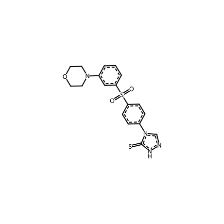 O=S(=O)(c1ccc(-n2cn[nH]c2=S)cc1)c1cccc(N2CCOCC2)c1